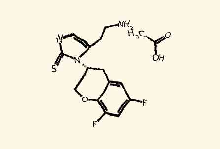 CC(=O)O.NCCC1=C[N]C(=S)N1[C@H]1COc2c(F)cc(F)cc2C1